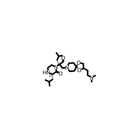 CC(C)C[C@@H]1NCCN([C@](C=O)(CC(C)C)CN2CCC3(CC2)OCC(CCN(C)C)O3)C1=O